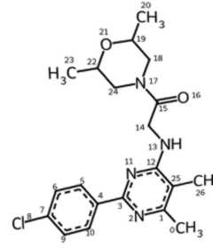 Cc1nc(-c2ccc(Cl)cc2)nc(NCC(=O)N2CC(C)OC(C)C2)c1C